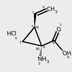 C=C[C@@H]1C[C@]1(N)C(=O)O.Cl